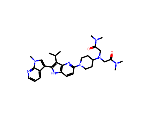 CC(C)c1c(-c2cn(C)c3ncccc23)[nH]c2ccc(N3CCC(N(CC(=O)N(C)C)CC(=O)N(C)C)CC3)nc12